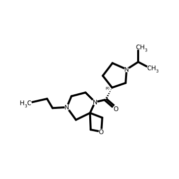 CCCN1CCN(C(=O)[C@@H]2CCN(C(C)C)C2)C2(COC2)C1